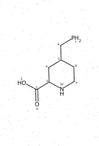 O=C(O)C1CC(CP)CCN1